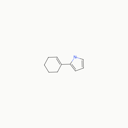 C1=C[N]C(C2=CCCCC2)=C1